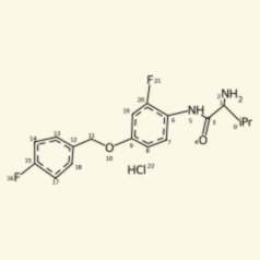 CC(C)C(N)C(=O)Nc1ccc(OCc2ccc(F)cc2)cc1F.Cl